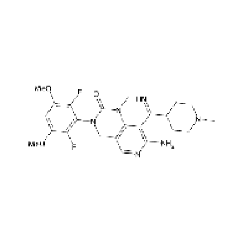 COc1cc(OC)c(F)c(N2Cc3cnc(N)c(C(=N)C4CCN(C)CC4)c3N(C)C2=O)c1F